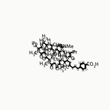 CC[C@H](NC(=O)C(C[C@H](C)CCCc1ccc(C(=O)O)cc1)N(C)C(=O)CC(C)C)C(=O)N(C)CC(=O)N(C)[C@@H](CC(C)C)C(=O)N[C@H](C(=O)N(C)[C@@H](CC(C)C)C(=O)NC(C)C(=O)N[C@H](C)C(=O)N(C)[C@@H](CC(C)C)C(=O)N(C)C(=O)NC)C(C)C